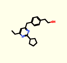 CCc1cc(Cc2ccc(CCO)cc2)nc(C2CCCC2)n1